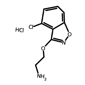 Cl.NCCOc1noc2cccc(Cl)c12